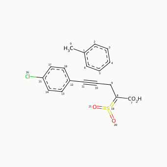 Cc1ccccc1.O=C(O)C(CC#Cc1ccc(Cl)cc1)=S(=O)=O